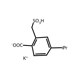 CC(C)c1ccc(C(=O)[O-])c(CS(=O)(=O)O)c1.[K+]